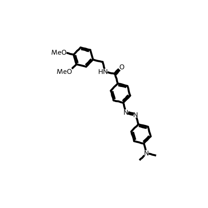 COc1ccc(CNC(=O)c2ccc(/N=N/c3ccc(N(C)C)cc3)cc2)cc1OC